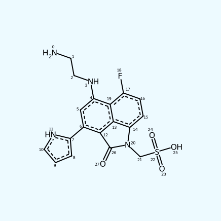 NCCNc1cc(-c2ccc[nH]2)c2c3c(ccc(F)c13)N(CS(=O)(=O)O)C2=O